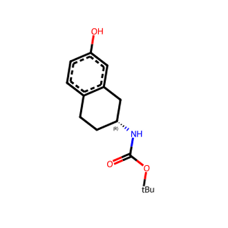 CC(C)(C)OC(=O)N[C@@H]1CCc2ccc(O)cc2C1